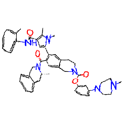 Cc1ccccc1NC(=O)c1cc(-c2cc3c(cc2C(=O)N2Cc4ccccc4C[C@H]2C)CN(C(=O)Oc2cccc(N4CCN(C)CC4)c2)CC3)n(C)c1C